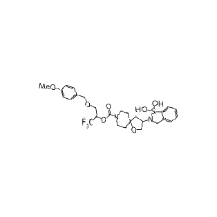 COc1ccc(COCC(OC(=O)N2CCC3(CC2)CC(N2Cc4ccccc4S2(O)O)CO3)C(F)(F)F)cc1